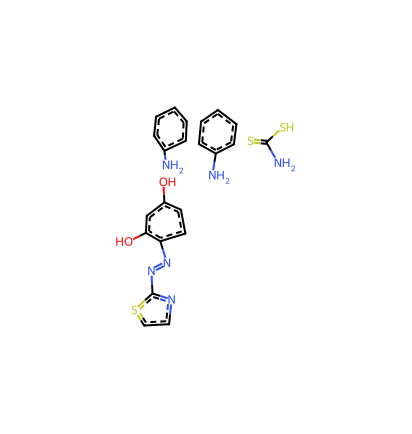 NC(=S)S.Nc1ccccc1.Nc1ccccc1.Oc1ccc(N=Nc2nccs2)c(O)c1